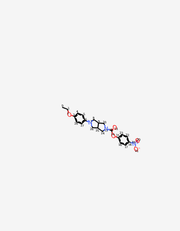 CCOc1ccc(N2CC3CN(C(=O)Oc4ccc([N+](=O)[O-])cc4)CC3C2)cc1